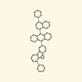 c1ccc(-c2ccc(-c3c4ccccc4c(-c4ccc5oc6c(-c7ccccc7)cccc6c5c4)c4ccccc34)c3ccccc23)cc1